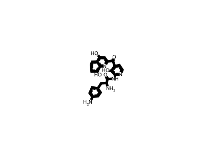 Nc1ccc(CC(N)C(=O)Nc2nccc(C(=O)c3cc(O)c4cccc(O)c4n3)c2O)cc1